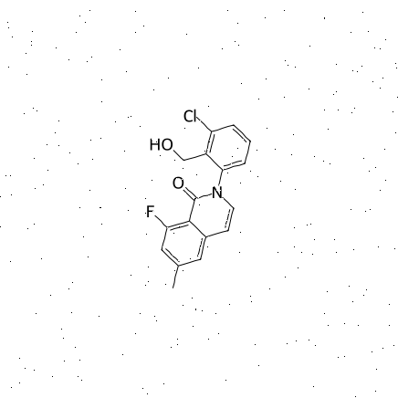 Cc1cc(F)c2c(=O)n(-c3cccc(Cl)c3CO)ccc2c1